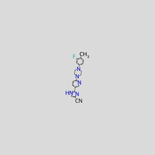 Cc1ccc(N2CCN(c3ccc(-c4nc(C#N)c[nH]4)cn3)CC2)cc1F